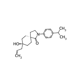 C=CC[C@]1(O)CC[C@@]2(CCN(c3ccc(C(C)C)cc3)C2=O)CC1